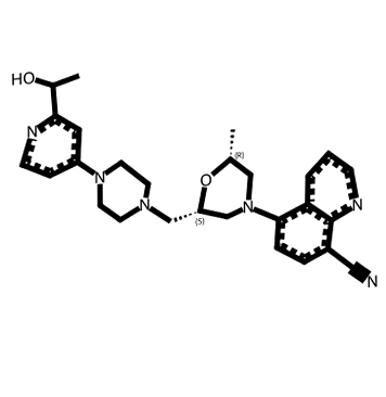 CC(O)c1cc(N2CCN(C[C@H]3CN(c4ccc(C#N)c5ncccc45)C[C@@H](C)O3)CC2)ccn1